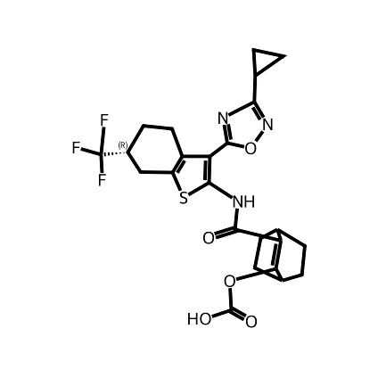 O=C(O)OC1=C(C(=O)Nc2sc3c(c2-c2nc(C4CC4)no2)CC[C@@H](C(F)(F)F)C3)C2CCC1CC2